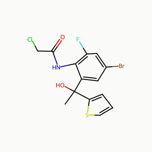 CC(O)(c1cccs1)c1cc(Br)cc(F)c1NC(=O)CCl